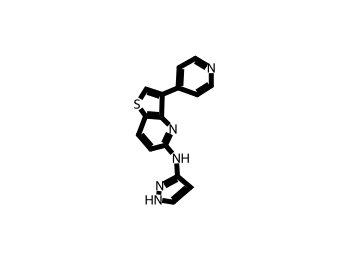 c1cc(-c2csc3ccc(Nc4cc[nH]n4)nc23)ccn1